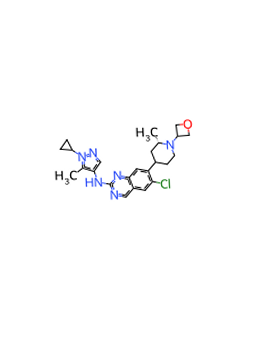 Cc1c(Nc2ncc3cc(Cl)c(C4CCN(C5COC5)[C@@H](C)C4)cc3n2)cnn1C1CC1